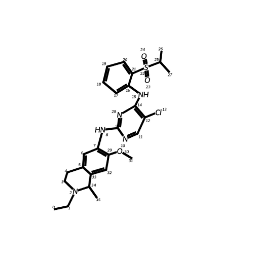 CCN1CCc2cc(Nc3ncc(Cl)c(Nc4ccccc4S(=O)(=O)C(C)C)n3)c(OC)cc2C1C